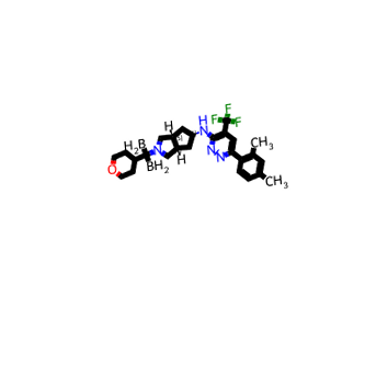 BC(B)(C1CCOCC1)N1C[C@H]2C[C@H](Nc3nnc(-c4ccc(C)cc4C)cc3C(F)(F)F)C[C@H]2C1